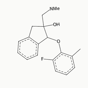 CNCC1(O)Cc2ccccc2C1Oc1c(C)cccc1F